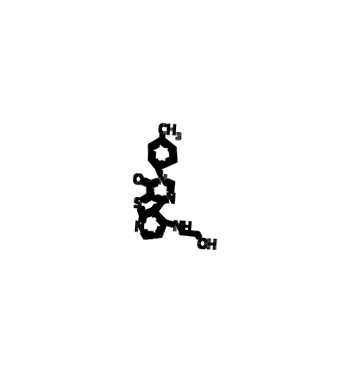 Cc1ccc(-n2cnc3c(sc4nccc(NCCO)c43)c2=O)cc1